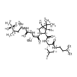 CCN(CC)CCNC(=O)[C@H](CC(F)F)NC(=O)[C@@H]1[C@@H]2[C@H](CN1C(=O)[C@@H](NC(=O)N[C@H](CN(C)S(C)(=O)=O)C(C)(C)C)C(C)(C)C)C2(C)C